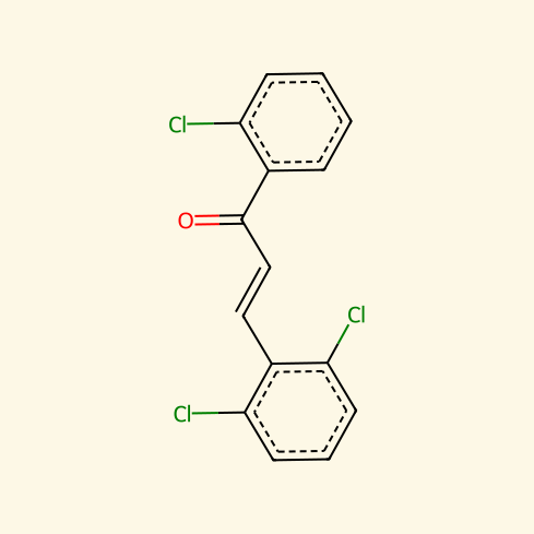 O=C(C=Cc1c(Cl)cccc1Cl)c1ccccc1Cl